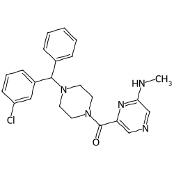 CNc1cncc(C(=O)N2CCN(C(c3ccccc3)c3cccc(Cl)c3)CC2)n1